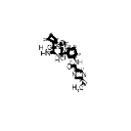 COc1cnc(C(=O)Nc2ccc(F)c([C@]3(C)CS(=O)(=O)C(C)(C4CCC4)C(=N)N3)c2)cn1